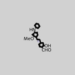 COc1cc(Nc2ccccc2)ccc1/C=C/c1ccc(C=O)c(O)c1